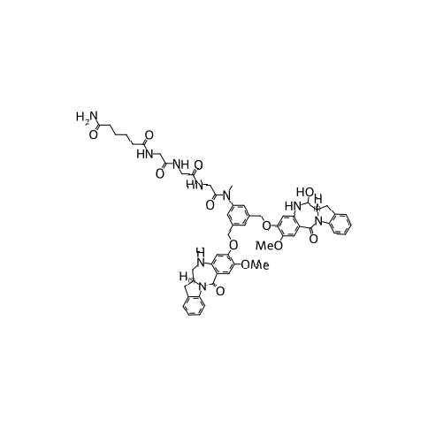 COc1cc2c(cc1OCc1cc(COc3cc4c(cc3OC)C(=O)N3c5ccccc5C[C@H]3C(O)N4)cc(N(C)C(=O)CNC(=O)CNC(=O)CNC(=O)CCCCC(N)=O)c1)NC[C@@H]1Cc3ccccc3N1C2=O